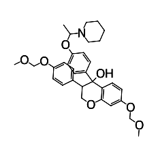 COCOc1ccc(C2COc3cc(OCOC)ccc3C2(O)c2ccc(OC(C)N3CCCCC3)cc2)cc1